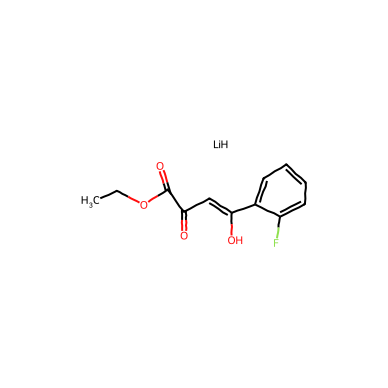 CCOC(=O)C(=O)C=C(O)c1ccccc1F.[LiH]